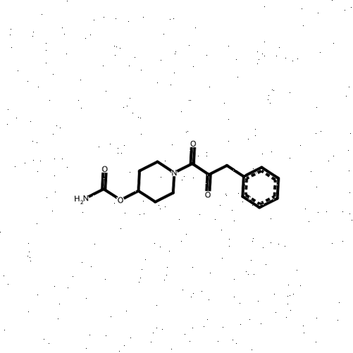 NC(=O)OC1CCN(C(=O)C(=O)Cc2ccccc2)CC1